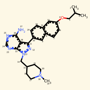 CC(C)COc1ccc2cc(-c3nn(CC4CCN(C)CC4)c4ncnc(N)c34)ccc2c1